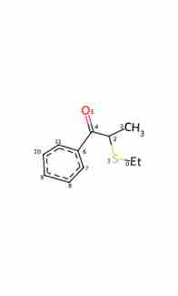 CCSC(C)C(=O)c1ccccc1